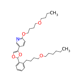 CCCCCCOCCCCc1ccccc1C1OC=C(c2ccc(OCCCCOCCCC)nc2)O1